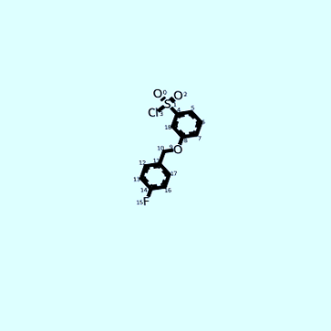 O=S(=O)(Cl)c1cccc(OCc2ccc(F)cc2)c1